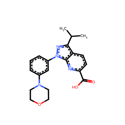 CC(C)c1nn(-c2cccc(N3CCOCC3)c2)c2nc(C(=O)O)ccc12